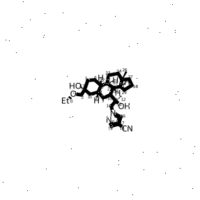 CCOC[C@@]1(O)CC[C@H]2[C@H](CC([C@@](C)(O)Cn3cc(C#N)cn3)[C@@H]3[C@@H]2CC[C@]2(C)CCC[C@@H]32)C1